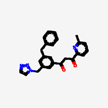 Cc1cccc(C(=O)CC(=O)c2cc(Cc3ccccc3)cc(Cn3ccnn3)c2)n1